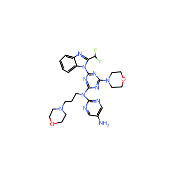 Nc1cnc(N(CCCN2CCOCC2)c2nc(N3CCOCC3)nc(-n3c(C(F)F)nc4ccccc43)n2)nc1